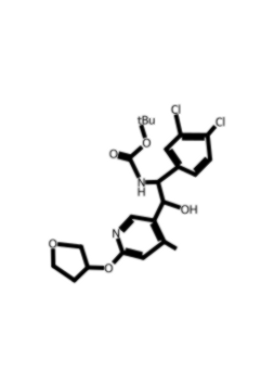 Cc1cc(OC2CCOC2)ncc1C(O)C(NC(=O)OC(C)(C)C)c1ccc(Cl)c(Cl)c1